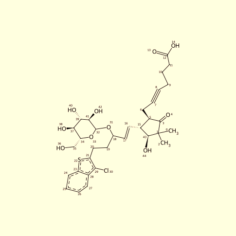 CC1(C)C(=O)[C@H](CC#CCCCC(=O)O)[C@@H](/C=C/C(CCc2sc3ccccc3c2Cl)OC2O[C@H](CO)[C@@H](O)[C@H](O)[C@H]2O)[C@@H]1O